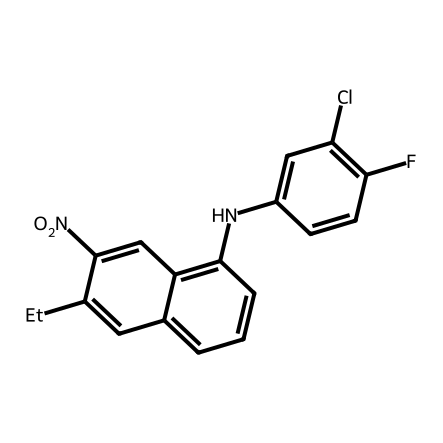 CCc1cc2cccc(Nc3ccc(F)c(Cl)c3)c2cc1[N+](=O)[O-]